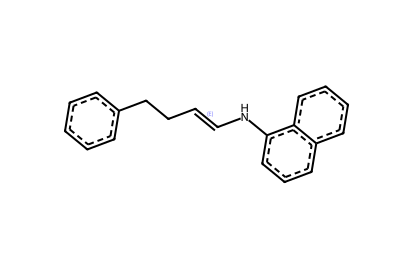 C(=C\Nc1cccc2ccccc12)/CCc1ccccc1